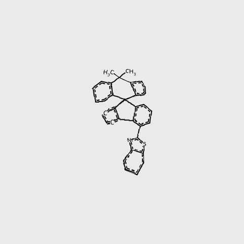 CC1(C)c2ccccc2C2(c3ccccc3-c3c(-c4nc5ccccc5s4)cccc32)c2ccccc21